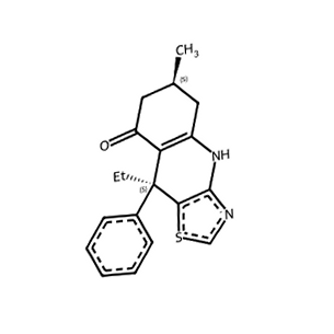 CC[C@]1(c2ccccc2)C2=C(C[C@H](C)CC2=O)Nc2ncsc21